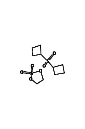 O=S(=O)(C1CCC1)C1CCC1.O=S1(=O)OCCO1